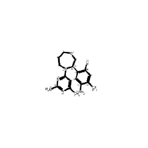 Cc1cc(N2CCCOC[C@H]2c2cc(N)c(C(F)(F)F)cc2Cl)nc(N)n1